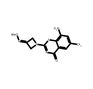 CON=C1CN(c2nc(=O)c3cc(C(F)(F)F)cc([N+](=O)[O-])c3s2)C1